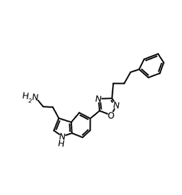 NCCc1c[nH]c2ccc(-c3nc(CCCc4ccccc4)no3)cc12